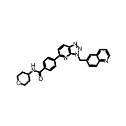 O=C(NC1CCOCC1)c1ccc(-c2ccc3nnn(Cc4ccc5ncccc5c4)c3n2)cc1